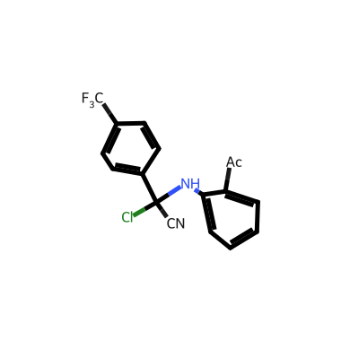 CC(=O)c1ccccc1NC(Cl)(C#N)c1ccc(C(F)(F)F)cc1